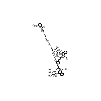 O=Cc1cccc(C(=O)NCCOCCOCCOCCOCCOCCOCCOCCOc2cc(/C=C/C(=O)N3C[C@@H](CCl)c4c3cc(O[C@@H]3O[C@H](CO)[C@@H](O)[C@H](O)[C@H]3O)c3ccccc43)ccc2/C=C/C(=O)N2C[C@@H](CCl)c3c2cc(O[C@@H]2O[C@H](CO)[C@@H](O)[C@H](O)[C@H]2O)c2ccccc32)n1